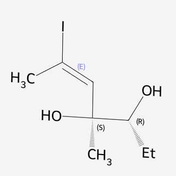 CC[C@@H](O)[C@@](C)(O)/C=C(\C)I